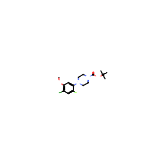 COc1cc(N2CCN(C(=O)OC(C)(C)C)CC2)c(F)cc1Cl